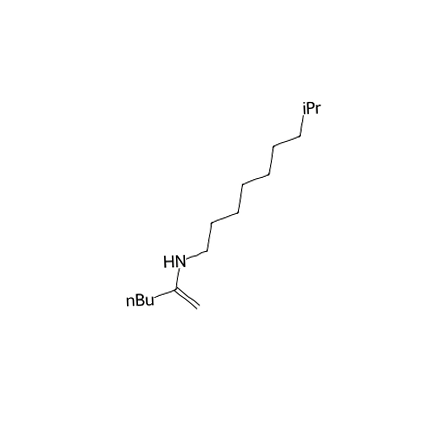 C=C(CCCC)NCCCCCCCC(C)C